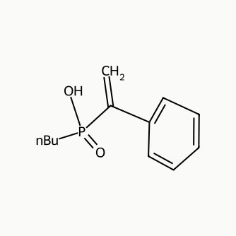 C=C(c1ccccc1)P(=O)(O)CCCC